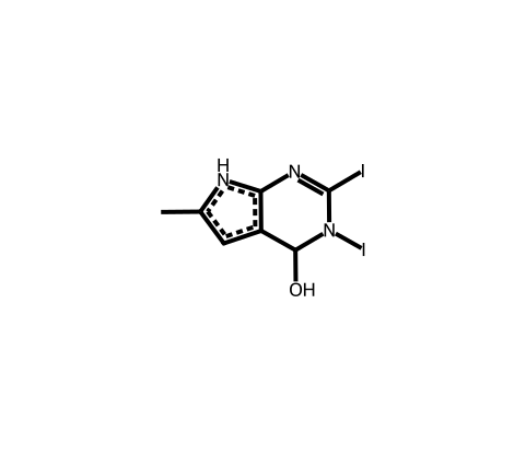 Cc1cc2c([nH]1)N=C(I)N(I)C2O